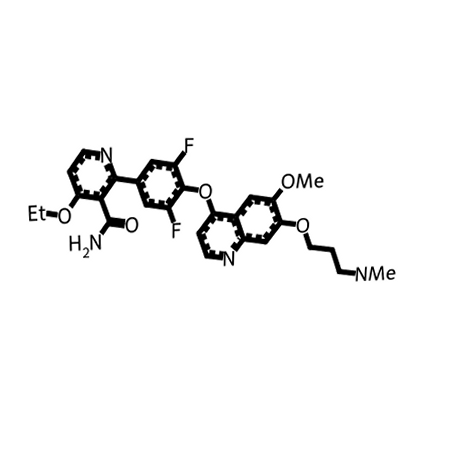 CCOc1ccnc(-c2cc(F)c(Oc3ccnc4cc(OCCCNC)c(OC)cc34)c(F)c2)c1C(N)=O